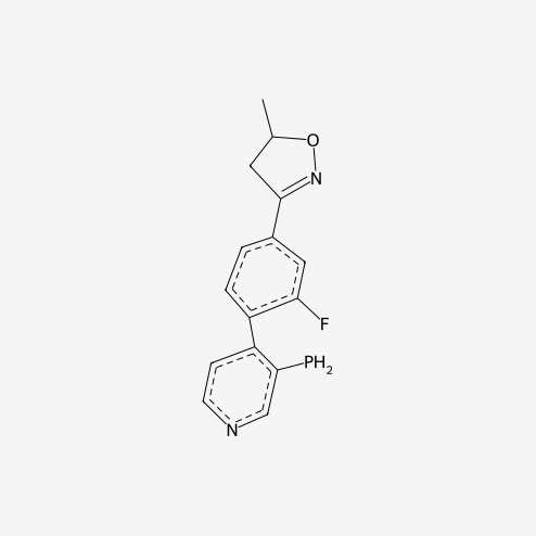 CC1CC(c2ccc(-c3ccncc3P)c(F)c2)=NO1